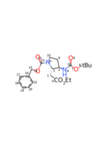 CCOC(=O)C[C@H]1[C@H](NC(=O)OC(C)(C)C)CCN1C(=O)OCc1ccccc1